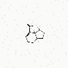 C[C@@H]1C=C2C(=O)O[C@@H]3CC[C@H](C1)C23O